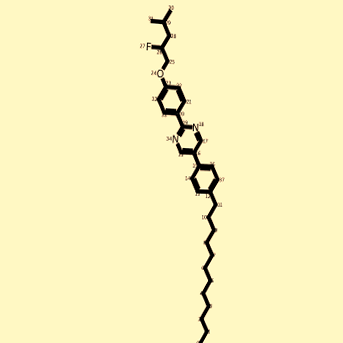 CCCCCCCCCCCCc1ccc(-c2cnc(-c3ccc(OCC(F)CC(C)C)cc3)nc2)cc1